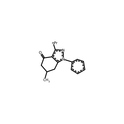 CCCc1nn(-c2ccccc2)c2c1C(=O)CC(C)C2